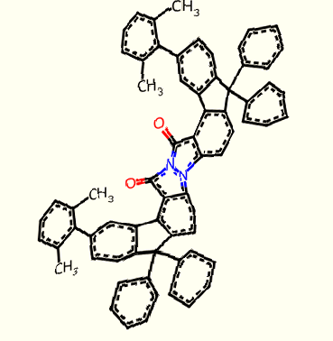 Cc1cccc(C)c1-c1ccc2c(c1)-c1c(ccc3c1c(=O)n1c(=O)c4c5c(ccc4n31)C(c1ccccc1)(c1ccccc1)c1ccc(-c3c(C)cccc3C)cc1-5)C2(c1ccccc1)c1ccccc1